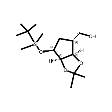 CC1(C)O[C@@H]2[C@@H](CO)C[C@H](O[Si](C)(C)C(C)(C)C)[C@@H]2O1